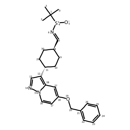 CC(C)(C)[S+]([O-])/N=C/[C@H]1CC[C@H](c2cnn3ccc(OCc4ccccc4)cc23)CC1